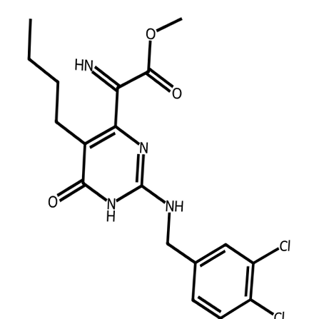 CCCCc1c(C(=N)C(=O)OC)nc(NCc2ccc(Cl)c(Cl)c2)[nH]c1=O